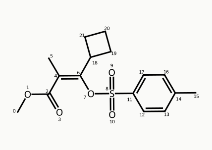 COC(=O)C(C)=C(OS(=O)(=O)c1ccc(C)cc1)C1CCC1